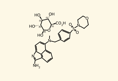 CN(Cc1ccc(S(=O)(=O)N2CCOCC2)cc1)c1ccc2c3c(cccc13)C(N)=N2.O=C(O)[C@H]1O[C@@H](O)[C@H](O)[C@@H](O)[C@@H]1O